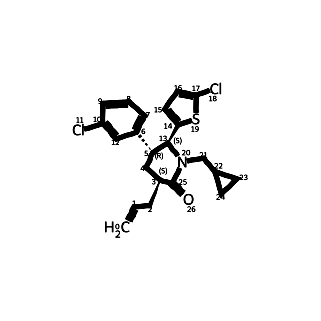 C=CC[C@H]1C[C@H](c2cccc(Cl)c2)[C@@H](c2ccc(Cl)s2)N(CC2CC2)C1=O